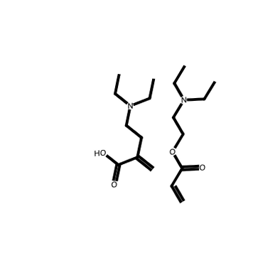 C=C(CCN(CC)CC)C(=O)O.C=CC(=O)OCCN(CC)CC